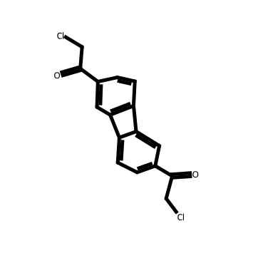 O=C(CCl)c1ccc2c(c1)-c1ccc(C(=O)CCl)cc1-2